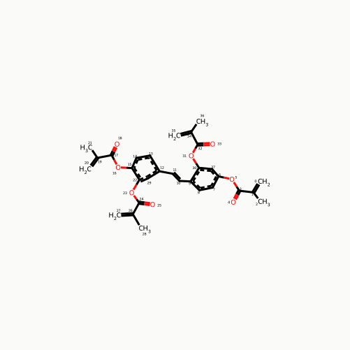 C=C(C)C(=O)Oc1ccc(/C=C/c2ccc(OC(=O)C(=C)C)c(OC(=O)C(=C)C)c2)c(OC(=O)C(=C)C)c1